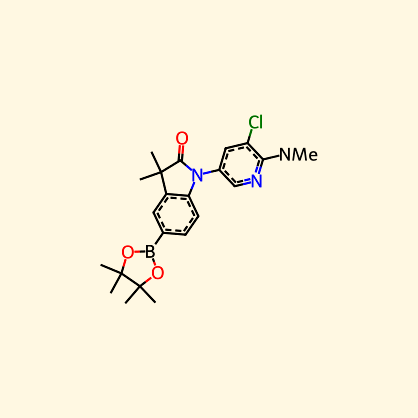 CNc1ncc(N2C(=O)C(C)(C)c3cc(B4OC(C)(C)C(C)(C)O4)ccc32)cc1Cl